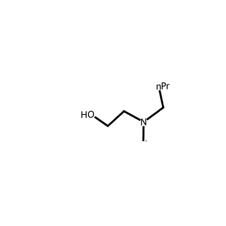 [CH2]N(CCO)CCCC